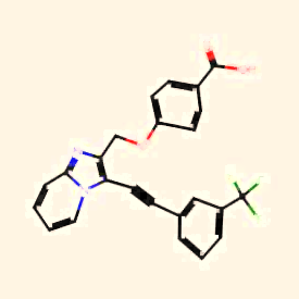 O=C(O)c1ccc(OCc2nc3ccccn3c2C#Cc2cccc(C(F)(F)F)c2)cc1